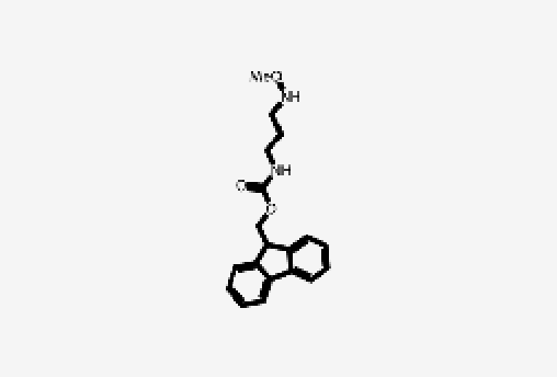 CONCCCNC(=O)OCC1c2ccccc2-c2ccccc21